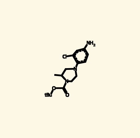 CC1CN(c2ccc(N)cc2Cl)CCN1C(=O)OC(C)(C)C